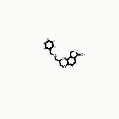 O=C1OCc2c1ccc1c2OC(COCc2ccccc2)CO1